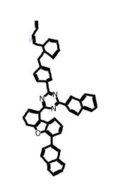 C=C/C=C\C1C=CC=CC1Cc1ccc(-c2nc(C3=CCCc4oc5c(-c6ccc7ccccc7c6)cccc5c43)nc(-c3ccc4ccccc4c3)n2)cc1